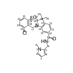 Cn1cccc1CNC(=O)c1ccc2c(c1)N(Cc1c(F)cccc1Cl)C(=O)C2(C)C